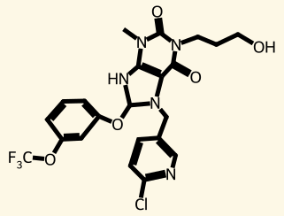 Cn1c2c(c(=O)n(CCCO)c1=O)N(Cc1ccc(Cl)nc1)C(Oc1cccc(OC(F)(F)F)c1)N2